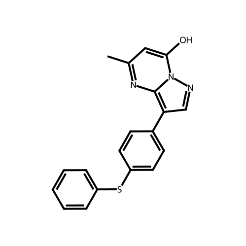 Cc1cc(O)n2ncc(-c3ccc(Sc4ccccc4)cc3)c2n1